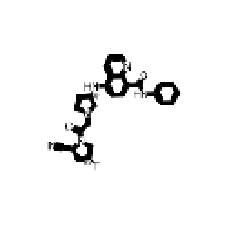 N#CC1C[C@H](F)CN1C(=O)CN1CC[C@H](Nc2ccc(C(=O)Nc3ccccc3)c3ncccc23)C1